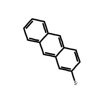 [S]c1ccc2cc3ccccc3cc2c1